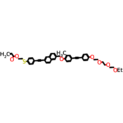 C=CC(=O)OCCSc1ccc(C#Cc2ccc3cc(COc4ccc(C#Cc5ccc(OCCOCCOCCOCC)cc5)cc4C)ccc3c2)cc1